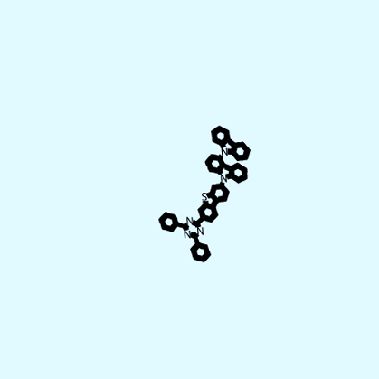 c1ccc(-c2nc(-c3ccccc3)nc(-c3ccc4c(c3)sc3cc(-n5c6ccccc6c6c(-n7c8ccccc8c8ccccc87)cccc65)ccc34)n2)cc1